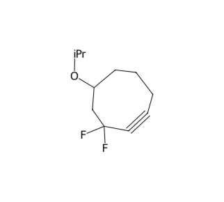 CC(C)OC1CCCC#CC(F)(F)C1